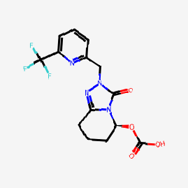 O=C(O)O[C@H]1CCCc2nn(Cc3cccc(C(F)(F)F)n3)c(=O)n21